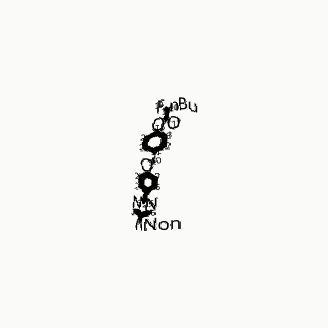 CCCCCCCCCc1cnc(-c2ccc(OC[C@H]3CC[C@H](OC(=O)[C@H](F)CCCC)CC3)cc2)nc1